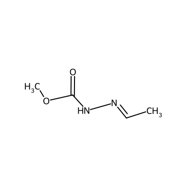 CC=NNC(=O)OC